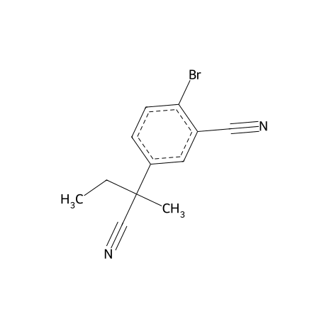 CCC(C)(C#N)c1ccc(Br)c(C#N)c1